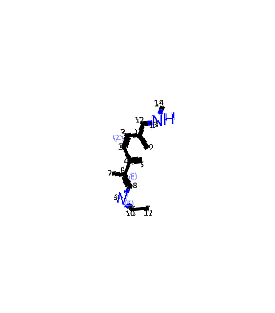 C=C(/C=C\C(=C)/C(C)=C/N=C\C)CNC